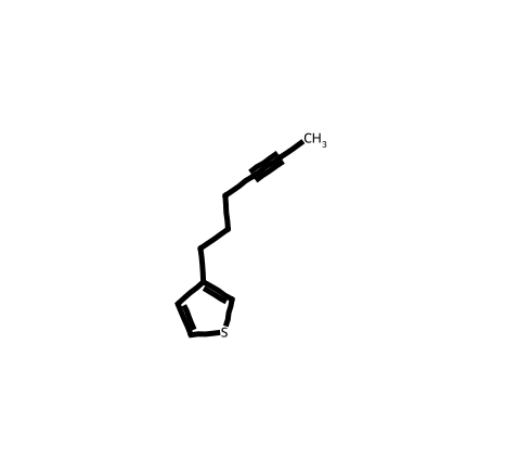 CC#CCCCc1ccsc1